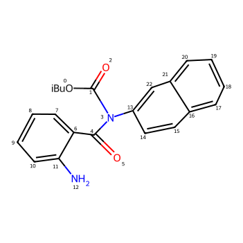 CC(C)COC(=O)N(C(=O)c1ccccc1N)c1ccc2ccccc2c1